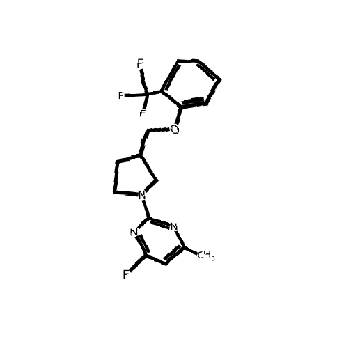 Cc1cc(F)nc(N2CCC(COc3ccccc3C(F)(F)F)C2)n1